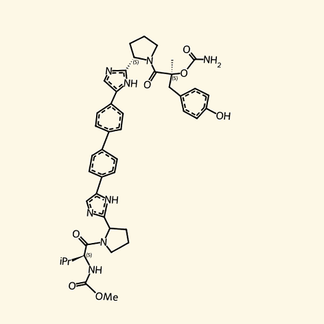 COC(=O)N[C@H](C(=O)N1CCCC1c1ncc(-c2ccc(-c3ccc(-c4cnc([C@@H]5CCCN5C(=O)[C@](C)(Cc5ccc(O)cc5)OC(N)=O)[nH]4)cc3)cc2)[nH]1)C(C)C